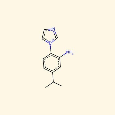 CC(C)c1ccc(-n2ccnc2)c(N)c1